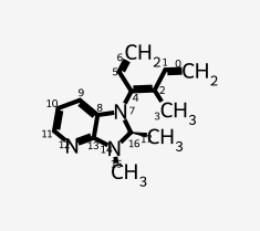 C=C/C(C)=C(\C=C)N1c2cccnc2N(C)[C@@H]1C